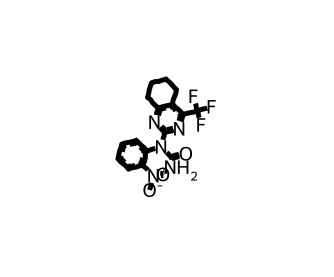 NC(=O)N(c1nc2c(c(C(F)(F)F)n1)CCCC2)c1ccccc1[N+](=O)[O-]